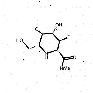 CNC(=O)[C@H]1N[C@H](CO)[C@@H](O)[C@H](O)[C@H]1F